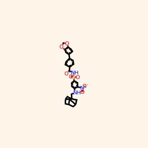 O=C(NS(=O)(=O)c1ccc(NCC23CC4CC(CC(C4)C2)C3)c([N+](=O)[O-])c1)c1ccc(-c2ccc3c(c2)OCO3)cc1